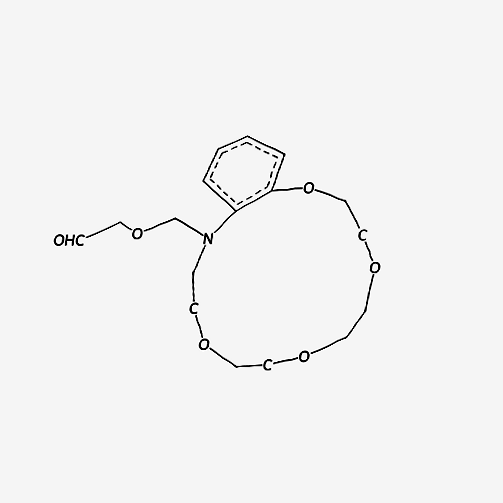 O=CCOCN1CCOCCOCCOCCOc2ccccc21